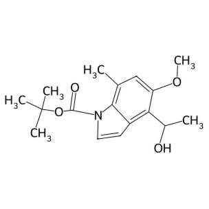 COc1cc(C)c2c(ccn2C(=O)OC(C)(C)C)c1C(C)O